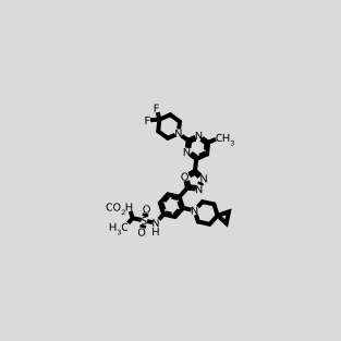 Cc1cc(-c2nnc(-c3ccc(NS(=O)(=O)C(C)C(=O)O)cc3N3CCC4(CC3)CC4)o2)nc(N2CCC(F)(F)CC2)n1